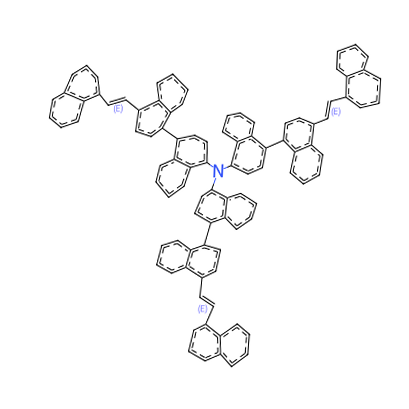 C(=C\c1ccc(-c2ccc(N(c3ccc(-c4ccc(/C=C/c5cccc6ccccc56)c5ccccc45)c4ccccc34)c3ccc(-c4ccc(/C=C/c5cccc6ccccc56)c5ccccc45)c4ccccc34)c3ccccc23)c2ccccc12)/c1cccc2ccccc12